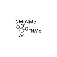 CNCCOc1cc(C(C)=O)cc(OCCNC)c1OCCNC